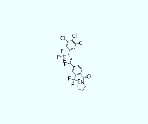 O=C(c1ccc(C(F)=CC(c2cc(Cl)c(Cl)c(Cl)c2)C(F)(F)F)cc1C(F)(F)F)N1CCCC1